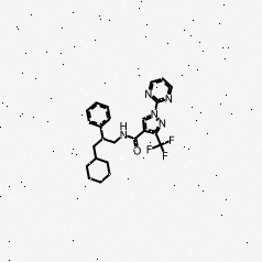 O=C(NCC(CC1CCCCC1)c1ccccc1)c1cn(-c2ncccn2)nc1C(F)(F)F